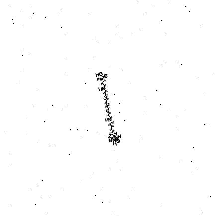 O=C1N[C@H]2[C@H](CS[C@H]2CCCCCNCCCOCCOCCOCCCNCCCC(=O)C(=O)O)N1